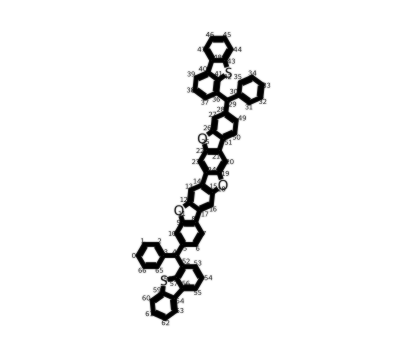 c1ccc(C(c2ccc3c(c2)oc2cc4c(cc23)oc2cc3c(cc24)oc2cc(C(c4ccccc4)c4cccc5c4sc4ccccc45)ccc23)c2cccc3c2sc2ccccc23)cc1